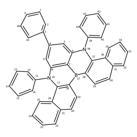 c1ccc(-c2cc3c4c(c2)N(c2ccccc2)c2c(ccc5ccccc25)B4c2ccc4ccccc4c2N3c2ccccc2)cc1